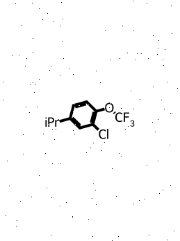 [CH2]C(C)c1ccc(OC(F)(F)F)c(Cl)c1